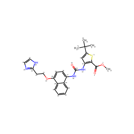 COC(=O)c1sc(C(C)(C)C)cc1NC(=O)Nc1ccc(OCCc2ncc[nH]2)c2ccccc12